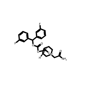 NC(=O)C[N+]12CCC(CC1)[C@@H](OC(=O)OC(c1cccc(F)c1)c1cccc(F)c1)C2